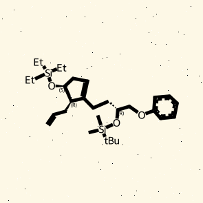 C=CC[C@@H]1C(CC[C@H](COc2ccccc2)O[Si](C)(C)C(C)(C)C)=CC[C@@H]1O[Si](CC)(CC)CC